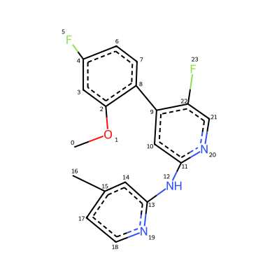 COc1cc(F)ccc1-c1cc(Nc2cc(C)ccn2)ncc1F